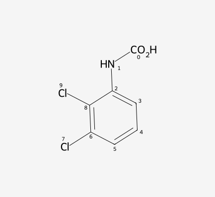 O=C(O)Nc1cccc(Cl)c1Cl